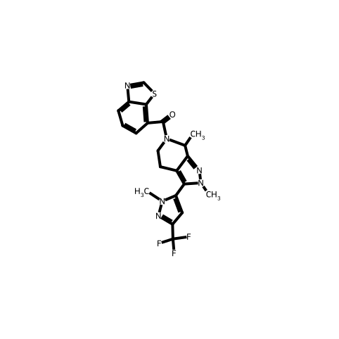 CC1c2nn(C)c(-c3cc(C(F)(F)F)nn3C)c2CCN1C(=O)c1cccc2ncsc12